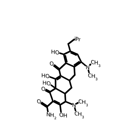 CC(C)Cc1cc(N(C)C)c2c(c1O)C(=O)C1=C(O)C3(O)C(=O)C(C(N)=O)=C(O)C(N(C)C)C3CC1C2